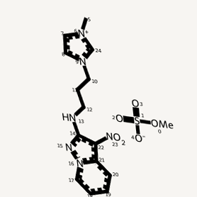 COS(=O)(=O)[O-].C[n+]1ccn(CCCNc2nn3ccccc3c2[N+](=O)[O-])c1